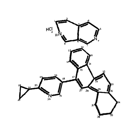 Cl.c1cc2ccncc2cn1.c1ccc2c(c1)c(-c1ccc(C3CC3)nc1)cc1c3c(ccc12)CCCC3